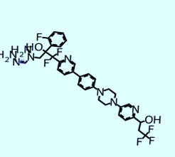 N/N=C\N(N)CC(O)(c1ccccc1F)C(F)(F)c1ccc(-c2ccc(N3CCN(c4ccc(C(O)CC(F)(F)F)nc4)CC3)cc2)cn1